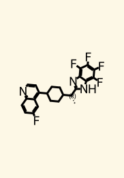 C[C@@H](c1nc2c(F)c(F)c(F)c(F)c2[nH]1)C1CCC(c2ccnc3ccc(F)cc23)CC1